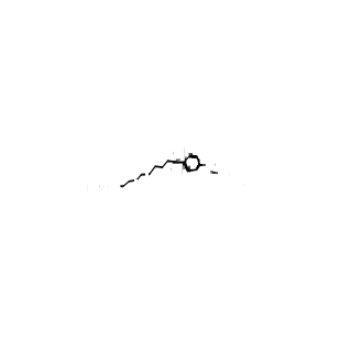 CCCCCCCCCCCCCCCCCCC(C)(C)c1ccc(OCC(=O)O)cc1